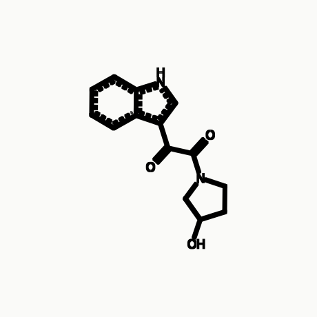 O=C(C(=O)N1CCC(O)C1)c1c[nH]c2ccccc12